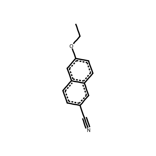 CCOc1ccc2cc(C#N)ccc2c1